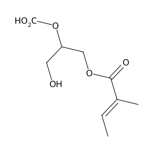 CC=C(C)C(=O)OCC(CO)OC(=O)O